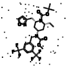 CC[C@@H]1C[C@H](N(Cc2cc(C(F)(F)F)cc(C(F)(F)F)c2)C(=O)OC)C[C@H](Cc2ccon2)N1C(=O)OC(C)(C)C